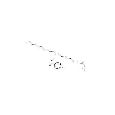 CCCCCCCCCCCCCCCCCCOC(=O)[C@H](C)N.Cc1ccc(S(=O)(=O)O)cc1